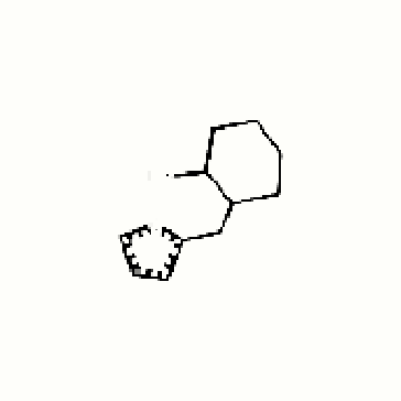 NC1CCCCC1Cc1ccco1